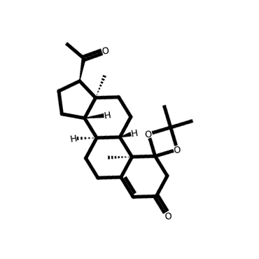 CC(=O)[C@@H]1CC[C@H]2[C@@H]3CCC4=CC(=O)CC5(OC(C)(C)O5)[C@]4(C)[C@H]3CC[C@]12C